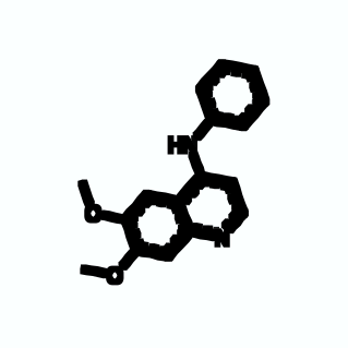 COc1cc2nccc(Nc3ccccc3)c2cc1OC